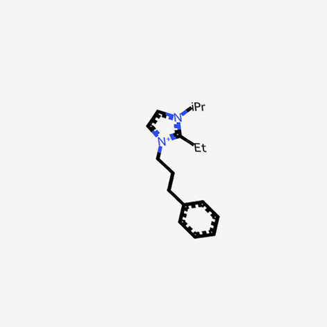 CCc1n(C(C)C)cc[n+]1CCCc1ccccc1